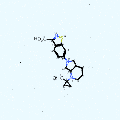 O=CC1(N2CCCC3CN(c4ccc5c(C(=O)O)nsc5c4)CC32)CC1